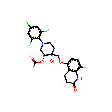 O=C1CCc2c(OC[C@]3(O)CCN(c4c(F)cc(Cl)cc4F)C[C@H]3OC(=O)O)ccc(F)c2N1